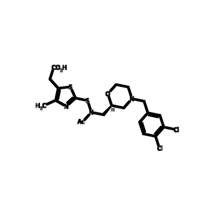 CC(=O)N(C[C@@H]1CN(Cc2ccc(Cl)c(Cl)c2)CCO1)Sc1nc(C)c(CC(=O)O)s1